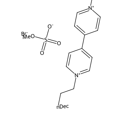 CCCCCCCCCCCC[n+]1ccc(-c2cc[n+](C)cc2)cc1.COS(=O)(=O)[O-].[Br-]